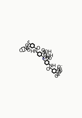 CSc1ccc(C(=O)Nc2ccc(/C=C/c3ccc(NC(=O)c4ccc(S(C)(=O)=O)c([N+](=O)[O-])c4)cc3S(=O)(=O)O)c(S(=O)(=O)O)c2)cc1S(=O)(=O)N1CCOCC1